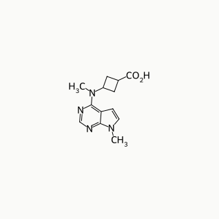 CN(c1ncnc2c1ccn2C)C1CC(C(=O)O)C1